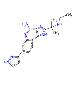 CCNC(C)(C)c1nc2c(N)nc3cc(-c4cc[nH]n4)ccc3c2[nH]1